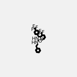 O=C(NCCc1ccccc1)NC(c1ccc(C(F)(F)F)cc1)c1ncccc1C(F)(F)F